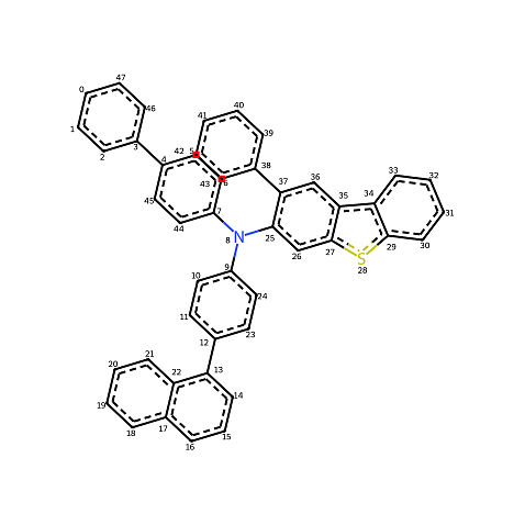 c1ccc(-c2ccc(N(c3ccc(-c4cccc5ccccc45)cc3)c3cc4sc5ccccc5c4cc3-c3ccccc3)cc2)cc1